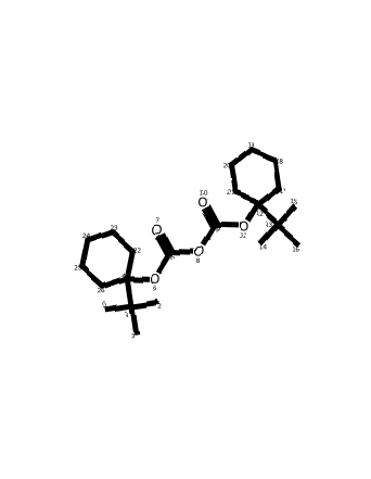 CC(C)(C)C1(OC(=O)OC(=O)OC2(C(C)(C)C)CCCCC2)CCCCC1